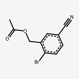 CC(=O)OCc1cc(C#N)ccc1Br